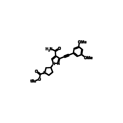 COc1cc(C#Cc2nn(C3CCN(C(=O)OC(C)(C)C)C3)cc2C(N)=O)cc(OC)c1